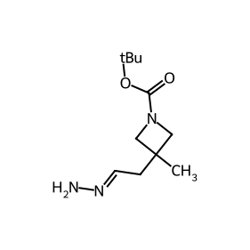 CC1(CC=NN)CN(C(=O)OC(C)(C)C)C1